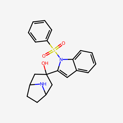 O=S(=O)(c1ccccc1)n1c(C2(O)CC3CCC(C2)N3)cc2ccccc21